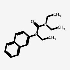 CCN(CC)C(=O)N(CC)c1ccc2ccccc2c1